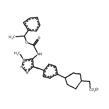 CCOC(=O)CC1CCC(c2ccc(-c3nnn(C)c3NC(=O)OC(C)c3ccccc3)cc2)CC1